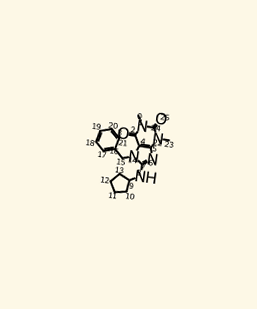 Cn1c(=O)c2c(nc(NC3CCCC3)n2Cc2ccccc2)n(C)c1=O